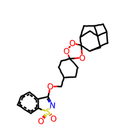 O=S1(=O)N=C(OCC2CCC3(CC2)OOC2(O3)C3CC4CC5CC2CC45C3)c2ccccc21